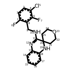 Fc1ccc(Cl)c(F)c1CNC1=Nc2ccccc2NC12CCOCC2